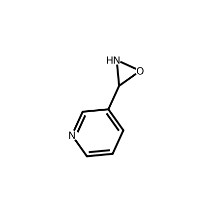 c1cncc(C2NO2)c1